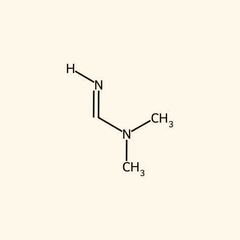 [H]/N=C/N(C)C